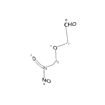 O=CCOCC(=O)N=O